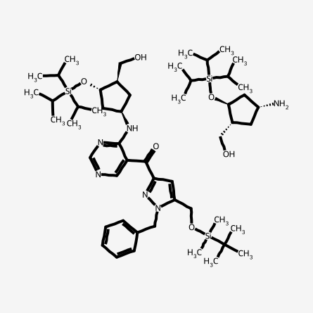 CC(C)[Si](O[C@H]1C[C@H](N)C[C@@H]1CO)(C(C)C)C(C)C.CC(C)[Si](O[C@H]1C[C@H](Nc2ncncc2C(=O)c2cc(CO[Si](C)(C)C(C)(C)C)n(Cc3ccccc3)n2)C[C@@H]1CO)(C(C)C)C(C)C